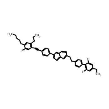 CCCCCc1cc(CCC)c(C#Cc2ccc(-c3ccc4cc(CCc5ccc(-c6c(F)cc(CC)cc6F)cc5)ccc4c3)cc2)cc1F